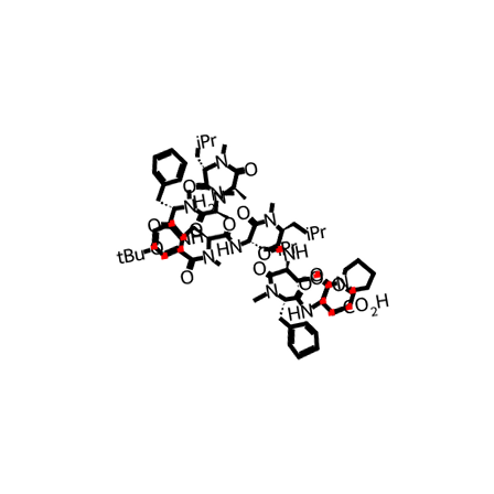 CC(C)C[C@H](NC(=O)[C@H](Cc1ccccc1)N(C)C(=O)[C@H](COC(C)(C)C)NC(=O)[C@H](Cc1ccccc1)N(C)C(=O)[C@H](C)N(C)C(=O)[C@H](CC(C)C)N(C)C(=O)[C@@H](C)N)C(=O)N(C)[C@@H](CC(C)C)C(=O)N[C@H](C(=O)N(C)[C@@H](Cc1ccccc1)C(=O)N[C@@H](CC(=O)O)C(=O)N1CCCCC1)[C@@H](C)OC1CCCCO1